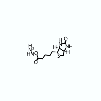 NNOC(=O)CCCC[C@@H]1SC[C@@H]2NC(=O)N[C@@H]21